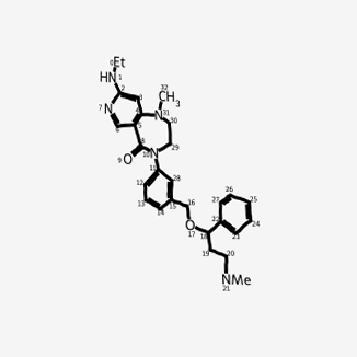 CCNc1cc2c(cn1)C(=O)N(c1cccc(COC(CCNC)c3ccccc3)c1)CCN2C